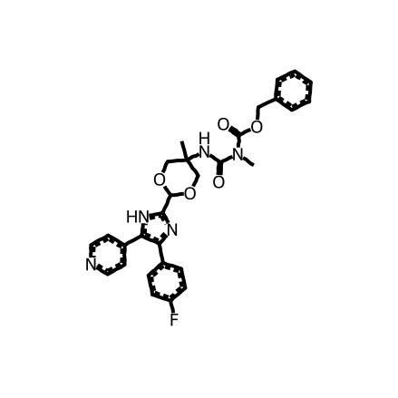 CN(C(=O)NC1(C)COC(c2nc(-c3ccc(F)cc3)c(-c3ccncc3)[nH]2)OC1)C(=O)OCc1ccccc1